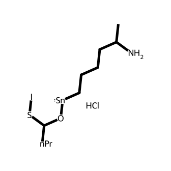 CCCC([O][Sn][CH2]CCCC(C)N)SI.Cl